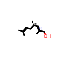 CC(C)=CC[C@@H](C)/C=C(\C)CO